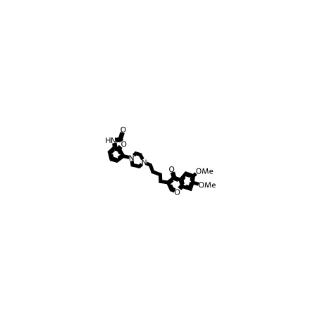 COc1cc2occ(CCCCN3CCN(c4cccc5[nH]c(=O)oc45)CC3)c(=O)c2cc1OC